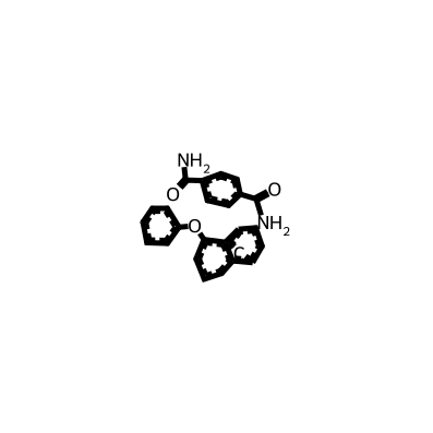 NC(=O)c1ccc(C(N)=O)cc1.c1ccc(Oc2cccc3c4ccc(cc4)c23)cc1